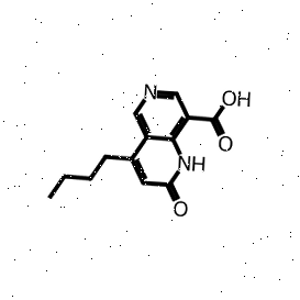 CCCCc1cc(=O)[nH]c2c(C(=O)O)cncc12